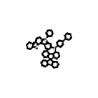 c1ccc(-c2ccc(N(c3ccc4c5c6sc7ccccc7c6ccc5n(-c5ccccc5)c4c3)c3cccc4c3-c3ccccc3C43c4ccccc4-c4ccccc43)cc2)cc1